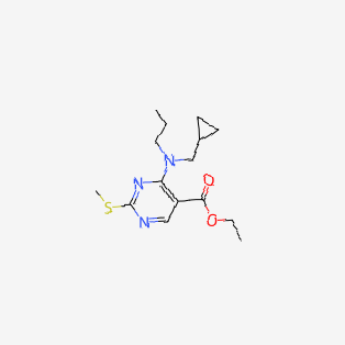 CCCN(CC1CC1)c1nc(SC)ncc1C(=O)OCC